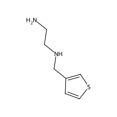 NCCNCc1ccsc1